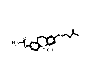 CC(C)CCNCc1ccc2c(c1)CCc1cc(OC(N)=O)ccc1O2.Cl